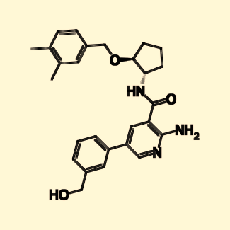 Cc1ccc(CO[C@H]2CCC[C@@H]2NC(=O)c2cc(-c3cccc(CO)c3)cnc2N)cc1C